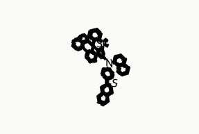 C[Si]1(C)c2ccccc2C2(c3ccccc3-c3cccc4cccc2c34)c2ccc(N(c3ccc4c(c3)sc3cc5ccccc5cc34)c3cccc4ccccc34)cc21